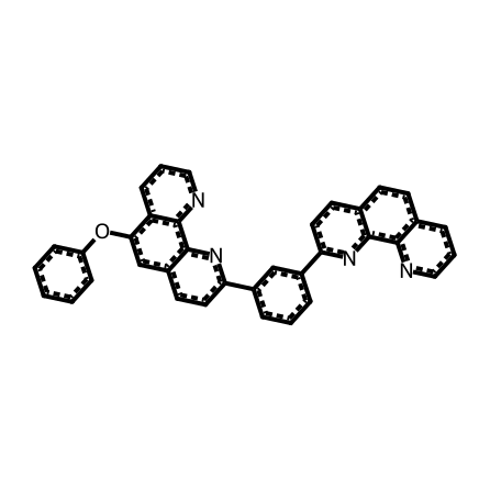 c1ccc(Oc2cc3ccc(-c4cccc(-c5ccc6ccc7cccnc7c6n5)c4)nc3c3ncccc23)cc1